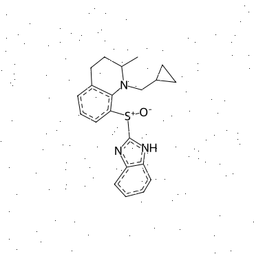 CC1CCc2cccc([S+]([O-])c3nc4ccccc4[nH]3)c2N1CC1CC1